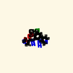 COc1c(Cl)cc2c([nH]c3cnccc32)c1NC(=O)c1ccno1